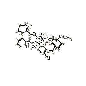 CC[C@H]1O[C@@](OC)(c2ccc(Cl)c(Cc3ccc(OC)c(F)c3F)c2)[C@H](OCc2ccccc2)[C@@H](OCc2ccccc2)[C@@H]1C